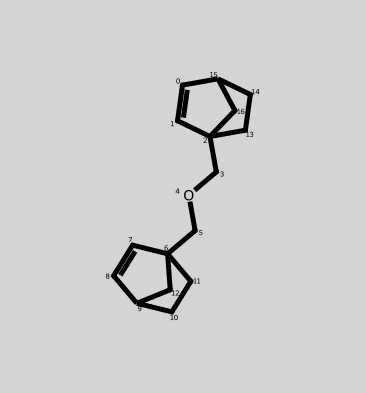 C1=CC2(COCC34C=CC(CC3)C4)CCC1C2